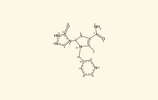 CC1=C(C(N)=O)SC(n2cn[nH]c2=O)N1Cc1cccnc1